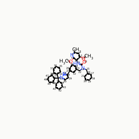 COc1cc(C)nc(OC)c1NC(=O)N(Cc1ccccc1)Cc1cccc(-c2ccn(C(c3ccccc3)(c3ccccc3)c3ccccc3)n2)c1